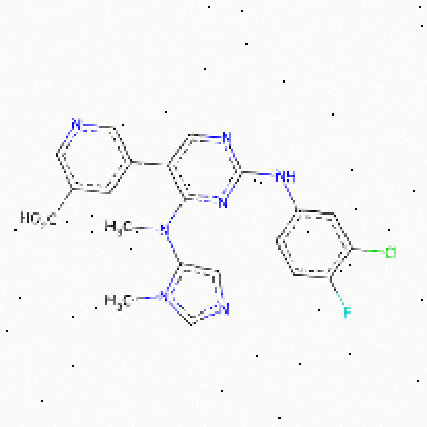 CN(c1nc(Nc2ccc(F)c(Cl)c2)ncc1-c1cncc(C(=O)O)c1)c1cncn1C